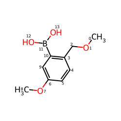 COCc1ccc(OC)cc1B(O)O